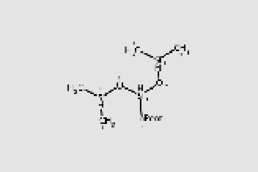 CCCCC[SiH](O[SiH](C)C)O[SiH](C)C